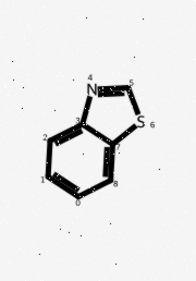 [c]1c[c]c2ncsc2c1